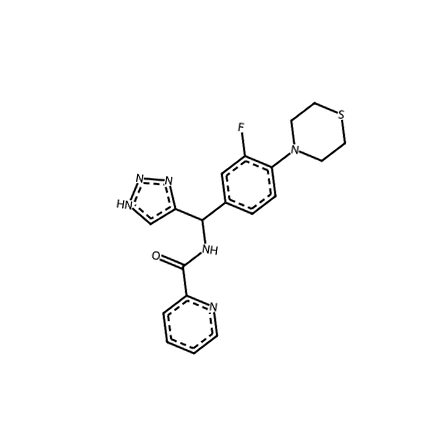 O=C(NC(c1ccc(N2CCSCC2)c(F)c1)c1c[nH]nn1)c1ccccn1